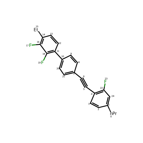 CCCc1ccc(C#Cc2ccc(-c3ccc(CC)c(F)c3F)cc2)c(F)c1